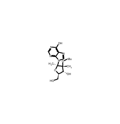 CCCCO[C@]1(C)[C@H](O)[C@@H](CO)O[C@@]1(C)n1cnc2c(O)ncnc21